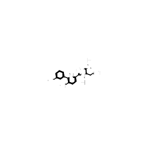 CC(C)CC(NC(=O)c1ccc(Cl)c(-c2cccc(Cl)c2)n1)C(N)=O